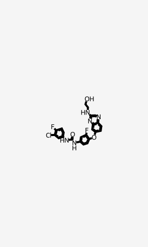 O=C(Nc1ccc(Oc2ccc3ncc(NCCO)nc3c2)c(F)c1)Nc1ccc(F)c(Cl)c1